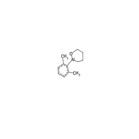 Cc1cccc(C)[c]1[Al]1[CH2]CCC[O]1